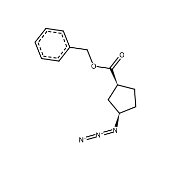 [N-]=[N+]=N[C@@H]1CC[C@H](C(=O)OCc2ccccc2)C1